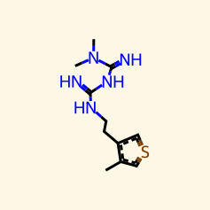 Cc1cscc1CCNC(=N)NC(=N)N(C)C